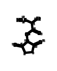 CCC(C(=O)ON1C(=O)CCC1=O)S(=O)(=O)O